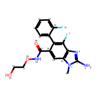 Cn1c(N)nc2c(F)c(-c3ccccc3F)c(C(=O)NOCCO)cc21